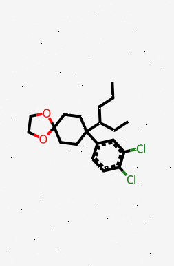 CCCC(CC)C1(c2ccc(Cl)c(Cl)c2)CCC2(CC1)OCCO2